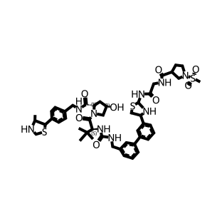 CC1NCSC1c1ccc(CNC(=O)[C@@H]2C[C@@H](O)CN2C(=O)[C@@H](NC(=O)NCc2cccc(-c3cccc(C4CSC(NC(=O)CNC(=O)C5CCN(S(C)(=O)=O)C5)N4)c3)c2)C(C)(C)C)cc1